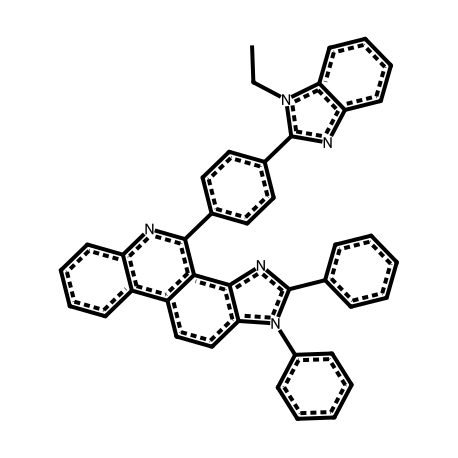 CCn1c(-c2ccc(-c3nc4ccccc4c4ccc5c(nc(-c6ccccc6)n5-c5ccccc5)c34)cc2)nc2ccccc21